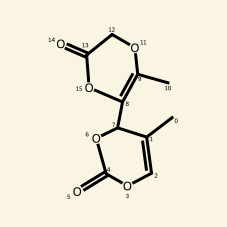 CC1=COC(=O)OC1C1=C(C)OCC(=O)O1